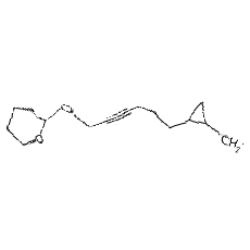 [CH2]C1CC1CCC#CCOC1CCCCO1